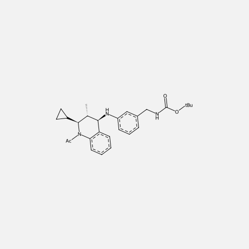 CC(=O)N1c2ccccc2[C@H](Nc2cccc(CNC(=O)OC(C)(C)C)c2)[C@@H](C)[C@@H]1C1CC1